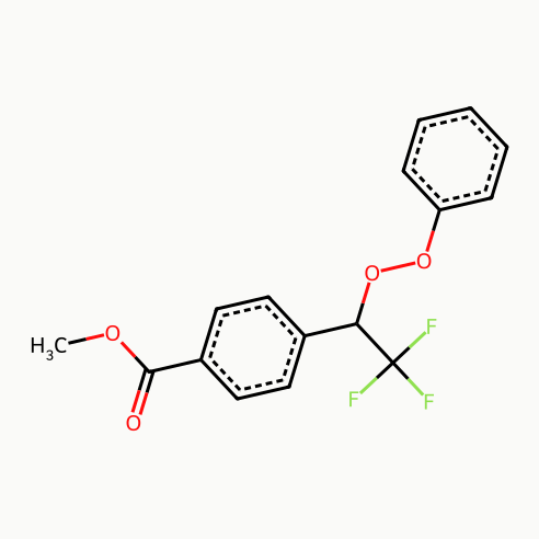 COC(=O)c1ccc(C(OOc2ccccc2)C(F)(F)F)cc1